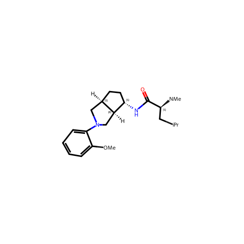 CN[C@@H](CC(C)C)C(=O)N[C@H]1CC[C@@H]2CN(c3ccccc3OC)C[C@@H]21